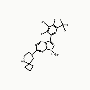 Cl.Cn1nc(-c2cc(C(F)(F)F)c(F)c(O)c2F)c2cnc(N3CCNC4(CCC4)C3)nc21